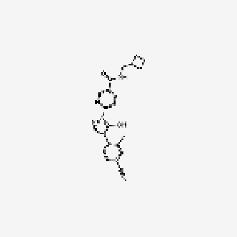 Cc1cc(C#N)ccc1-c1cnn(-c2ccc(C(=O)NCC3CCC3)cn2)c1O